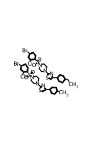 CCc1ccc(-c2csc(N3CCN(S(=O)(=O)c4ccc(Br)cc4Cl)CC3)n2)cc1.Cc1ccc(-c2csc(N3CCN(S(=O)(=O)c4ccc(Br)cc4Cl)CC3)n2)cc1